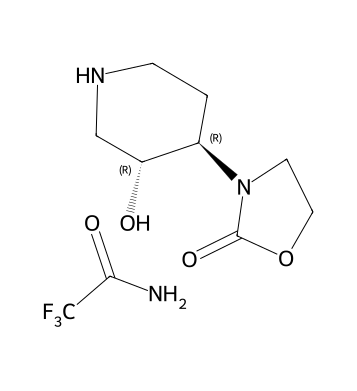 NC(=O)C(F)(F)F.O=C1OCCN1[C@@H]1CCNC[C@H]1O